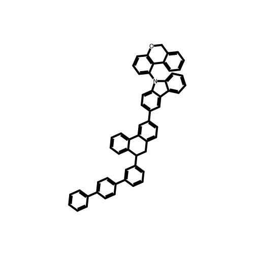 c1ccc(-c2ccc(-c3cccc(C4Cc5ccc(-c6ccc7c(c6)c6ccccc6n7-c6cccc7c6-c6ccccc6CO7)cc5-c5ccccc54)c3)cc2)cc1